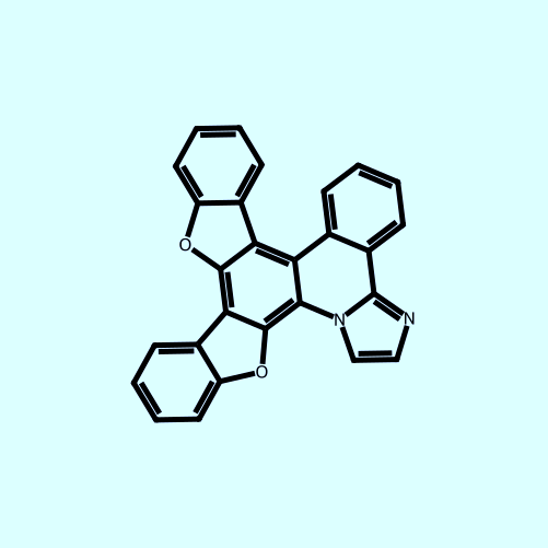 c1ccc2c(c1)oc1c2c2oc3ccccc3c2c2c3ccccc3c3nccn3c12